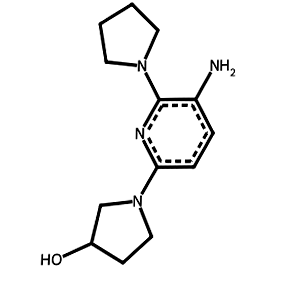 Nc1ccc(N2CCC(O)C2)nc1N1CCCC1